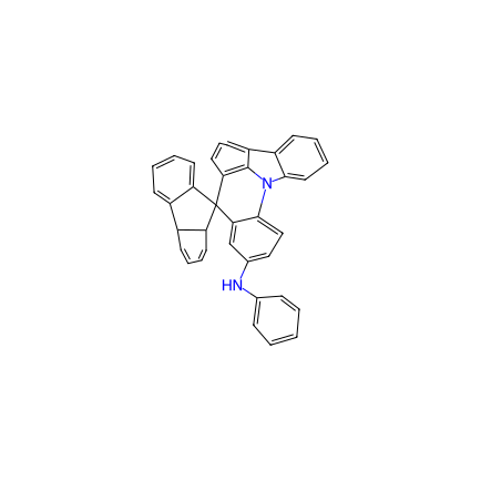 C1=CC2c3ccccc3C3(c4cc(Nc5ccccc5)ccc4-n4c5ccccc5c5cccc3c54)C2C=C1